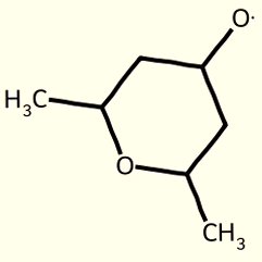 CC1CC([O])CC(C)O1